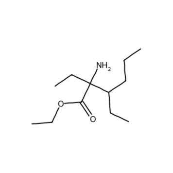 CCCC(CC)C(N)(CC)C(=O)OCC